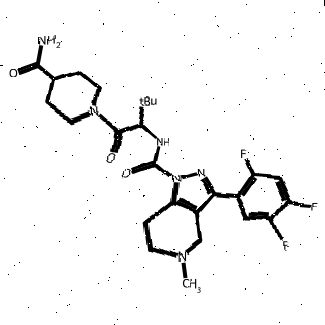 CN1CCc2c(c(-c3cc(F)c(F)cc3F)nn2C(=O)NC(C(=O)N2CCC(C(N)=O)CC2)C(C)(C)C)C1